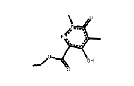 CCOC(=O)c1nn(C)c(=O)c(C)c1O